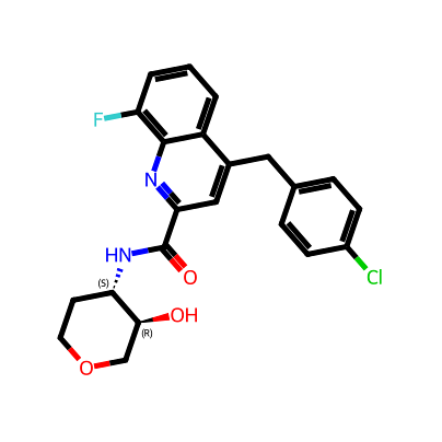 O=C(N[C@H]1CCOC[C@@H]1O)c1cc(Cc2ccc(Cl)cc2)c2cccc(F)c2n1